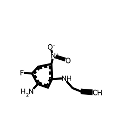 C#CCNc1cc(N)c(F)cc1[N+](=O)[O-]